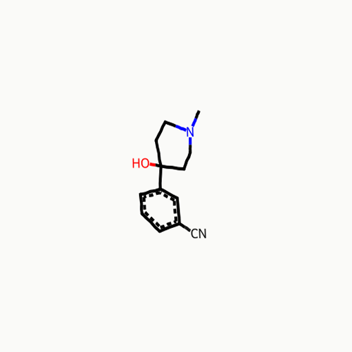 CN1CCC(O)(c2cccc(C#N)c2)CC1